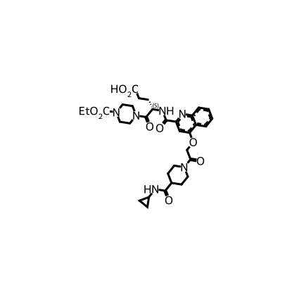 CCOC(=O)N1CCN(C(=O)[C@H](CCC(=O)O)NC(=O)c2cc(OCC(=O)N3CCC(C(=O)NC4CC4)CC3)c3ccccc3n2)CC1